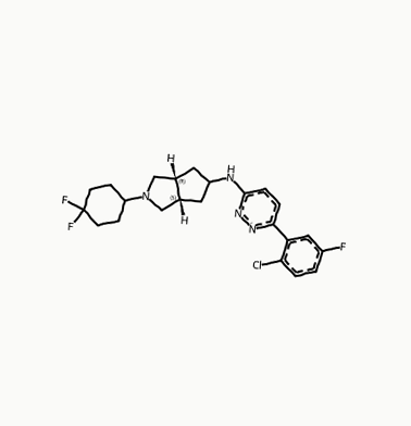 Fc1ccc(Cl)c(-c2ccc(NC3C[C@@H]4CN(C5CCC(F)(F)CC5)C[C@@H]4C3)nn2)c1